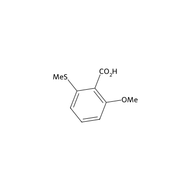 COc1cccc(SC)c1C(=O)O